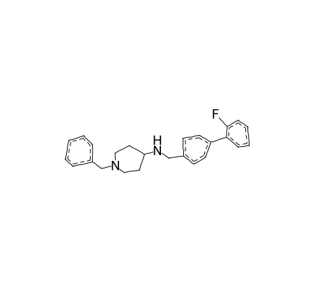 Fc1ccccc1-c1ccc(CNC2CCN(Cc3ccccc3)CC2)cc1